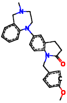 COc1ccc(CN2C(=O)CCc3cc(N4CCN(C)Cc5ccccc54)ccc32)cc1